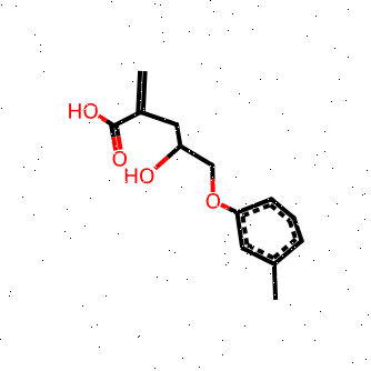 C=C(CC(O)COc1cccc(C)c1)C(=O)O